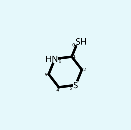 SC1CSCCN1